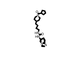 O=C(NCCCCC1CCN(C(=O)C2CCCC2)CC1)Nc1ccc2nccn2c1